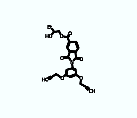 C#CCOc1cc(OCC#C)cc(N2C(=O)c3ccc(C(=O)OCC(O)CC)cc3C2=O)c1